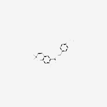 CC1(C)C=Cc2cc(C(=O)OCc3ccc(C(C)(C)C)cc3)c([18F])cc2O1